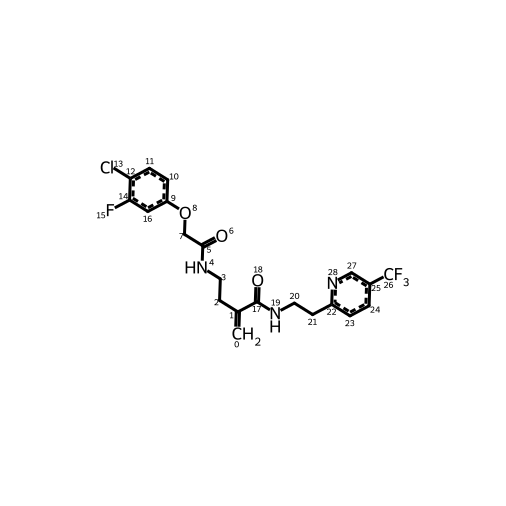 C=C(CCNC(=O)COc1ccc(Cl)c(F)c1)C(=O)NCCc1ccc(C(F)(F)F)cn1